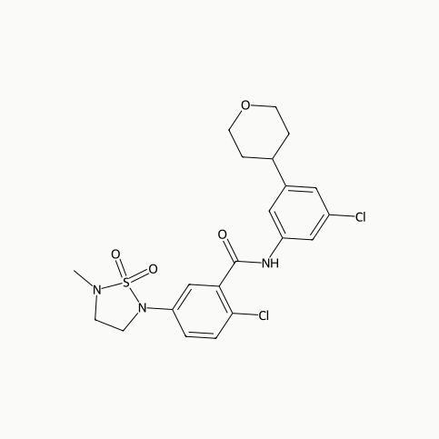 CN1CCN(c2ccc(Cl)c(C(=O)Nc3cc(Cl)cc(C4CCOCC4)c3)c2)S1(=O)=O